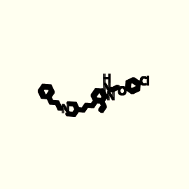 C=Cc1c(CCCC2CCN(CCCc3ccccc3)CC2)ccc2[nH]c(COc3ccc(Cl)cc3)nc12